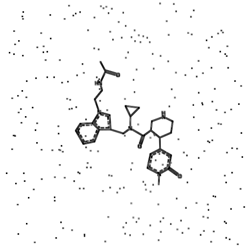 CC(=O)NCCn1cc(CN(C(=O)C2CNCCC2c2ccn(C)c(=O)c2)C2CC2)c2ccccc21